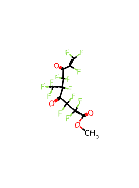 COC(=O)C(F)(F)C(F)(F)C(=O)C(F)(C(F)(F)F)C(F)(F)C(=O)C(F)=C(F)F